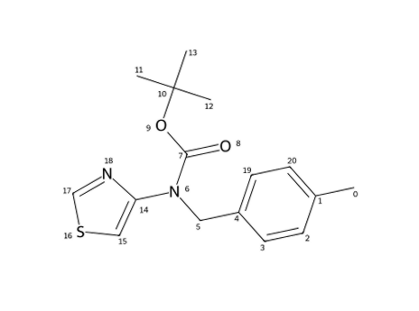 Cc1ccc(CN(C(=O)OC(C)(C)C)c2cscn2)cc1